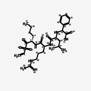 C=CS(=O)(=O)C(=O)[C@H](CCSC)NC(=O)[C@H](CCCNC(=N)N)NC(=O)[C@H](CC(C)C)NC(C(=O)O)c1ccccc1